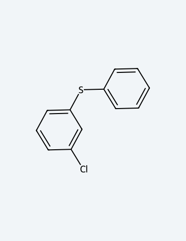 Clc1cccc(Sc2ccccc2)c1